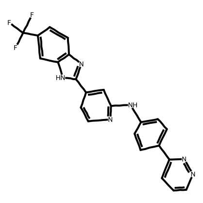 FC(F)(F)c1ccc2nc(-c3ccnc(Nc4ccc(-c5cccnn5)cc4)c3)[nH]c2c1